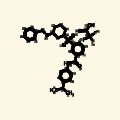 CC(C)c1ccc(NC(=O)c2cccc(S(=O)(=O)N3CCCC(OCc4ccccn4)C3)c2)cc1.O=C(O)C(F)(F)F